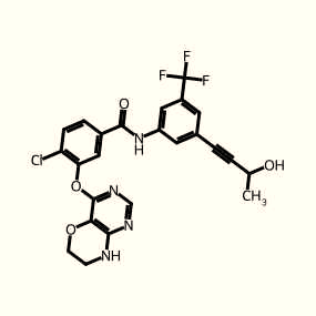 CC(O)C#Cc1cc(NC(=O)c2ccc(Cl)c(Oc3ncnc4c3OCCN4)c2)cc(C(F)(F)F)c1